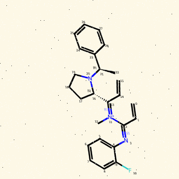 C=CC(=N/c1ccccc1F)/[N+](C)=C(\C=C)[C@@H]1CCCN1[C@H](C)c1ccccc1